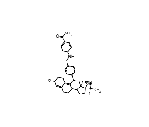 CC12C[C@H](c3ccc(CNC4C=CC(C(N)=O)=CC4)cc3)C3=C4CCC(=O)C=C4CCC3C1CC[C@@]2(O)C(F)(F)C(F)(F)F